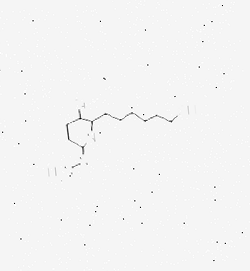 CCCCCCCC1NC(NN)CCC1Br